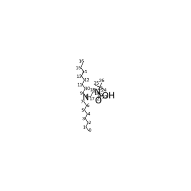 CCCCCCCCN(CCCCCCCC)CCN(C(=O)O)C(C)(C)C